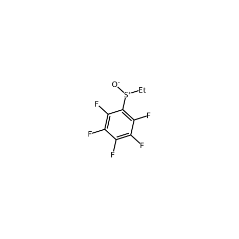 CC[S+]([O-])c1c(F)c(F)c(F)c(F)c1F